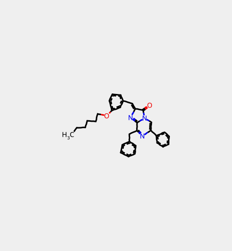 CCCCCCOc1cccc(/C=C2\N=C3C(Cc4ccccc4)=NC(c4ccccc4)=CN3C2=O)c1